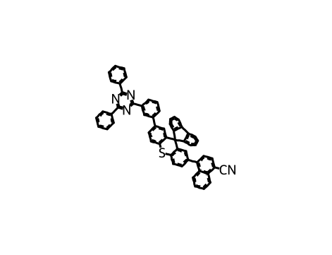 N#Cc1ccc(-c2ccc3c(c2)C2(c4cc(-c5cccc(-c6nc(-c7ccccc7)nc(-c7ccccc7)n6)c5)ccc4S3)c3ccccc3-c3ccccc32)c2ccccc12